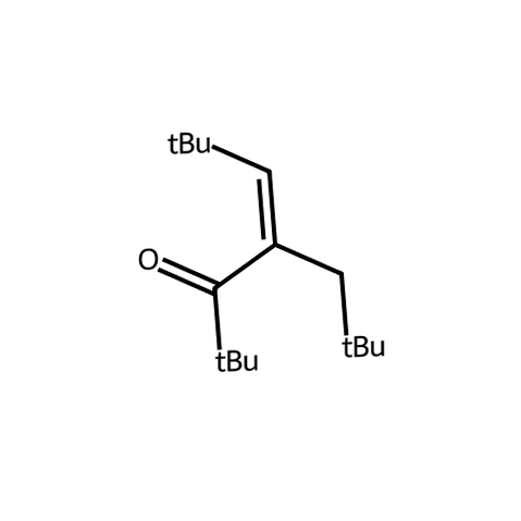 CC(C)(C)C=C(CC(C)(C)C)C(=O)C(C)(C)C